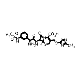 Cc1nsc(SCC2=C(C(=O)O)N3C(=O)C(NC(=O)C(N)c4cccc(NS(C)(=O)=O)c4)[C@H]3SC2)n1